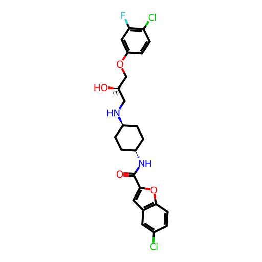 O=C(N[C@H]1CC[C@H](NC[C@@H](O)COc2ccc(Cl)c(F)c2)CC1)c1cc2cc(Cl)ccc2o1